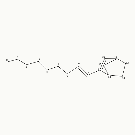 CCCCCCCC=CC1=CC2CCC1C2